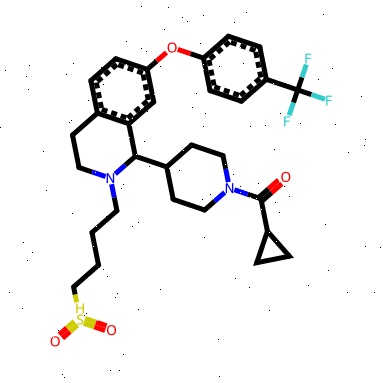 O=C(C1CC1)N1CCC(C2c3cc(Oc4ccc(C(F)(F)F)cc4)ccc3CCN2CCCC[SH](=O)=O)CC1